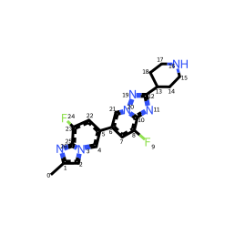 Cc1cn2cc(-c3cc(F)c4nc(C5CCNCC5)nn4c3)cc(F)c2n1